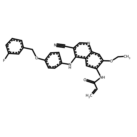 C=CC(=O)Nc1cc2c(Nc3ccc(OCc4cccc(F)c4)cc3)c(C#N)cnc2cc1OCC